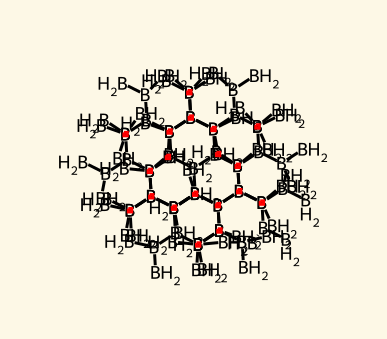 BB(B)B(B(B)B)B(B(B(B)B)B(B)B)B(B(B(B)B)B(B)B)B(B(B(B(B)B)B(B)B)B(B(B)B)B(B)B)B(B(B(B(B(B)B)B(B)B)B(B(B)B)B(B)B)B(B(B(B)B)B(B)B)B(B(B)B)B(B)B)B(B(B(B(B)B)B(B)B)B(B(B)B)B(B)B)B(B(B(B)B)B(B)B)B(B(B)B)B(B)B